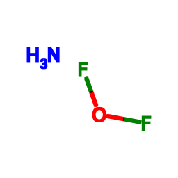 FOF.N